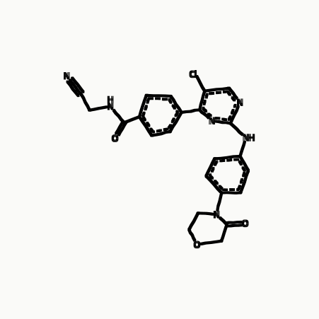 N#CCNC(=O)c1ccc(-c2nc(Nc3ccc(N4CCOCC4=O)cc3)ncc2Cl)cc1